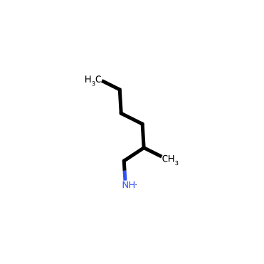 CCCCC(C)C[NH]